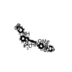 COc1cc(S(=O)(=O)N2CCOCC2)ccc1NCC#Cc1cc2c(NC3CCS(=O)(=O)CC3)cccc2n1CC(F)(F)F